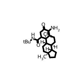 CC(C)(C)NC(=O)C1CC(=O)C(N)=C2CC[C@H]3[C@@H]4CCC[C@@]4(C)CC[C@@H]3[C@]21C